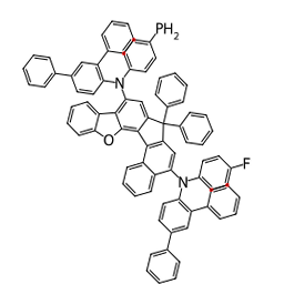 Fc1ccc(N(c2ccc(-c3ccccc3)cc2-c2ccccc2)c2cc3c(c4ccccc24)-c2c(cc(N(c4ccc(P)cc4)c4ccc(-c5ccccc5)cc4-c4ccccc4)c4c2oc2ccccc24)C3(c2ccccc2)c2ccccc2)cc1